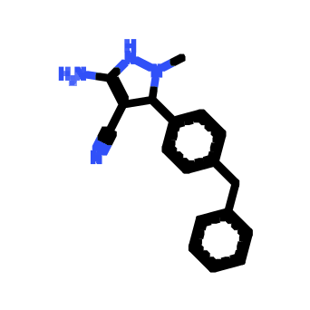 CN1NC(N)=C(C#N)C1c1ccc(Cc2ccccc2)cc1